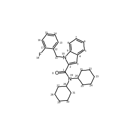 O=C(c1cc2ccccc2n1Cc1ccccc1F)N(C1CCCCC1)C1CCCCC1